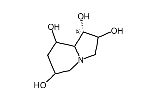 OC1CC(O)C2[C@H](O)C(O)CN2C1